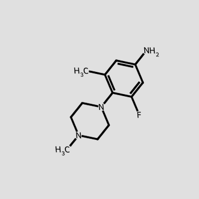 Cc1cc(N)cc(F)c1N1CCN(C)CC1